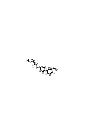 COC(=O)CCc1ccc(-c2cccc(C=O)c2)cc1